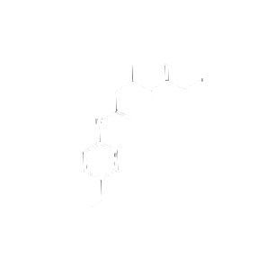 CCC(CC(=O)Nc1ccc(CC(=O)O)cc1)NC(=O)CC(C)C